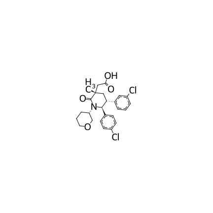 C[C@@]1(CC(=O)O)C[C@H](c2cccc(Cl)c2)[C@@H](c2ccc(Cl)cc2)N([C@H]2CCCOC2)C1=O